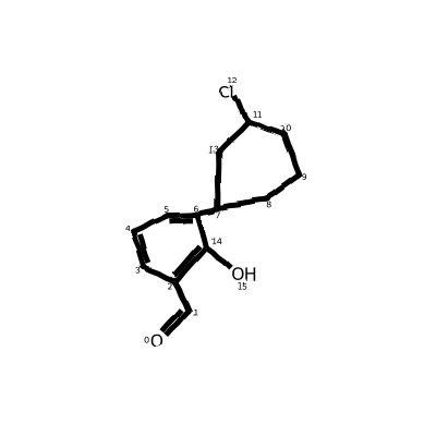 O=Cc1cccc(C2CCCC(Cl)C2)c1O